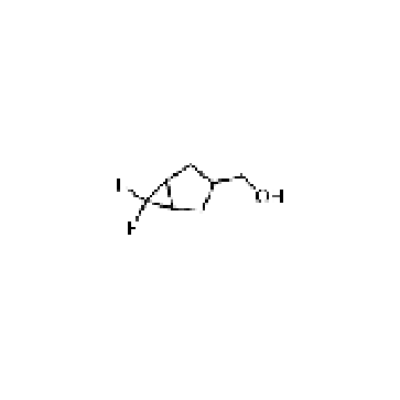 OCC1CC2C(C1)C2(F)F